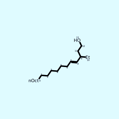 CCCCCCCCCCCCCCC=C[C](CC)CCO